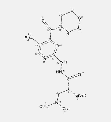 CCCCC[C@H](CN(O)C=O)C(=O)NNc1ncc(C(F)(F)F)c(C(=O)N2CCOCC2)n1